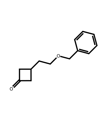 O=C1CC(CCOCc2ccccc2)C1